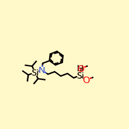 CO[SiH](CCCCCN(Cc1ccccc1)[Si](C(C)C)(C(C)C)C(C)C)OC